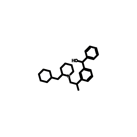 CC(CN1CCCCC1CC1CCCCC1)c1cccc(C(O)c2ccccc2)c1